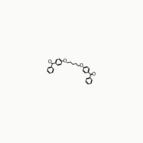 O=C(c1ccccc1)c1ccc(OCCCCCOc2ccc(C(=O)c3ccccc3)cc2)cc1